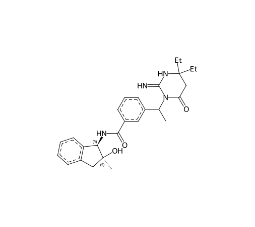 CCC1(CC)CC(=O)N(C(C)c2cccc(C(=O)N[C@@H]3c4ccccc4C[C@]3(C)O)c2)C(=N)N1